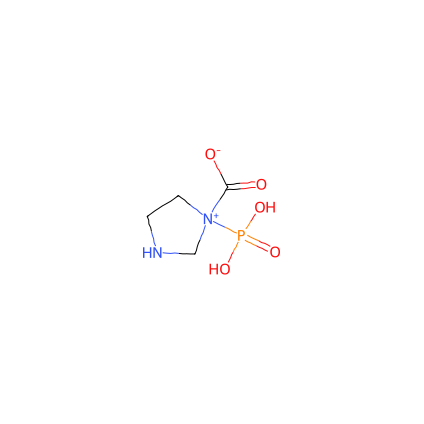 O=C([O-])[N+]1(P(=O)(O)O)CCNC1